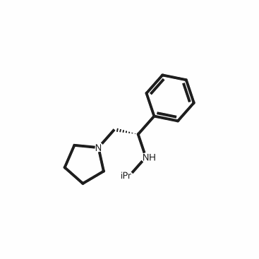 CC(C)N[C@H](CN1CCCC1)c1ccccc1